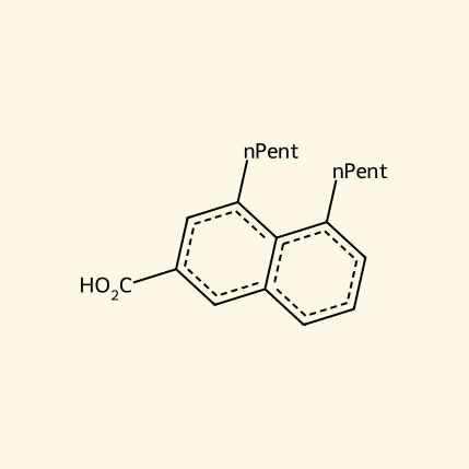 CCCCCc1cccc2cc(C(=O)O)cc(CCCCC)c12